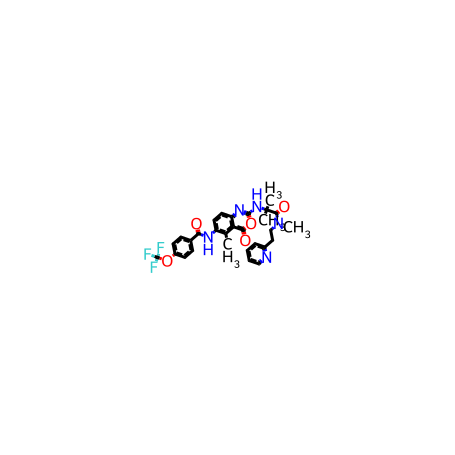 Cc1c(NC(=O)c2ccc(OC(F)(F)F)cc2)ccc2nc(NC(C)(C)C(=O)N(C)CCc3ccccn3)oc(=O)c12